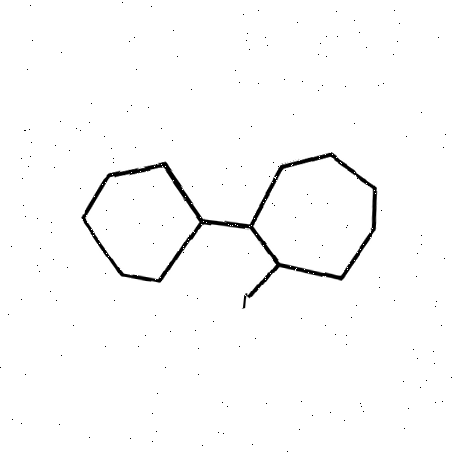 IC1CCCCCC1C1CCCCC1